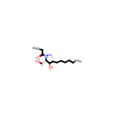 CCCCCCCCCCCCCCCC[C@@H](O)[C@H](CO)N(N)C(=O)CCCCCCCCCCC